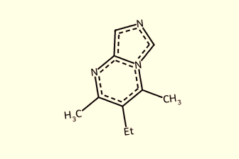 CCc1c(C)nc2cncn2c1C